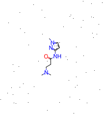 CN(C)CCC(=O)Nc1c[c]n(C)n1